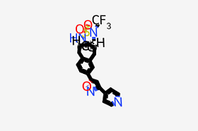 O=S1(=O)N[C@@]2(CN1CC(F)(F)F)[C@@H]1CC[C@H]2Cc2ccc(-c3cc(-c4ccncc4)no3)cc2C1